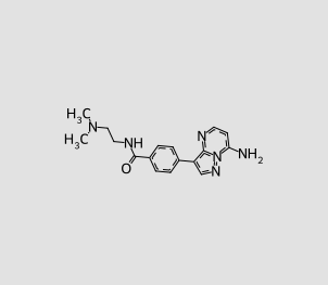 CN(C)CCNC(=O)c1ccc(-c2cnn3c(N)ccnc23)cc1